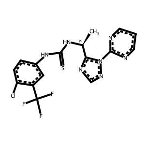 C[C@H](NC(=S)Nc1ccc(Cl)c(C(F)(F)F)c1)c1ncnn1-c1ncccn1